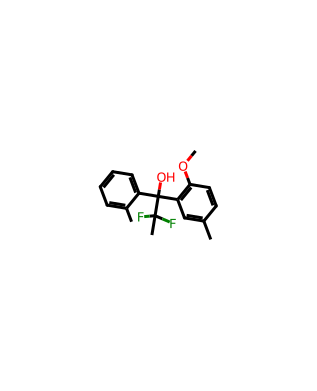 COc1ccc(C)cc1C(O)(c1ccccc1C)C(C)(F)F